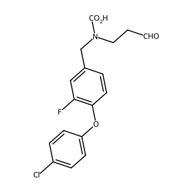 O=CCCN(Cc1ccc(Oc2ccc(Cl)cc2)c(F)c1)C(=O)O